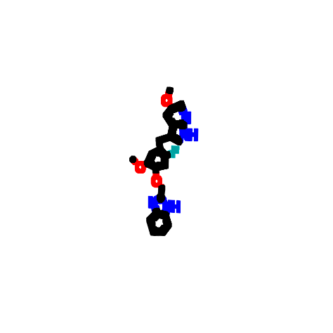 COc1cnc2[nH]cc(Cc3cc(OC)c(OCc4nc5ccccc5[nH]4)cc3F)c2c1